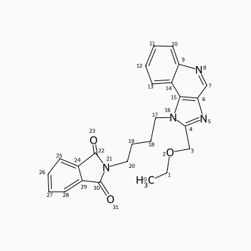 CCOCc1nc2cnc3ccccc3c2n1CCCCN1C(=O)c2ccccc2C1=O